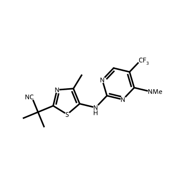 CNc1nc(Nc2sc(C(C)(C)C#N)nc2C)ncc1C(F)(F)F